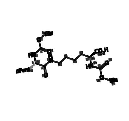 CCCCC[C@H](NC(=O)OC(C)(C)C)C(=O)NCCCC[C@H](NC(=O)OC(C)(C)C)C(=O)O